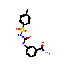 Cc1ccc(S(=O)(=O)NC(=O)Nc2cccc(C(N)=O)c2)cc1